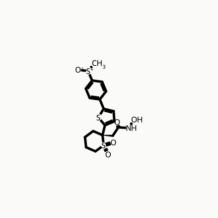 C[S+]([O-])c1ccc(-c2ccc([C@@]3(CC(=O)NO)CCCCS3(=O)=O)s2)cc1